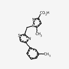 Cc1cccc(-c2csc(Cn3nc(C(=O)O)cc3C)n2)c1